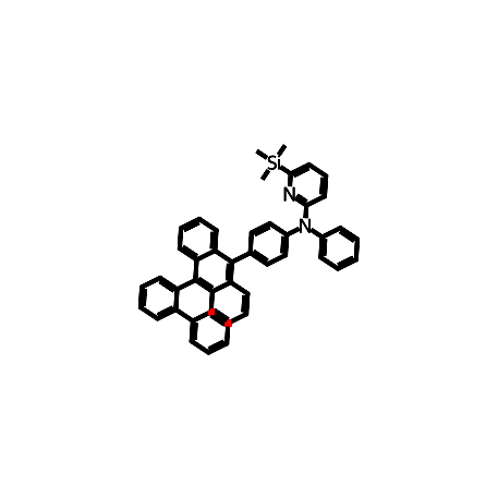 C[Si](C)(C)c1cccc(N(c2ccccc2)c2ccc(-c3c4ccccc4c(-c4ccccc4-c4ccccc4)c4ccccc34)cc2)n1